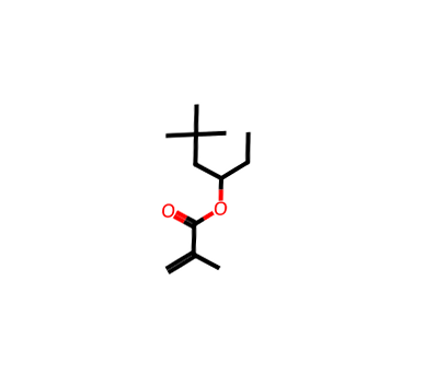 C=C(C)C(=O)OC(CC)CC(C)(C)C